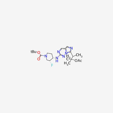 CC(=O)OC(C)(C)C(C)c1ncc2cnc(N[C@H]3CCN(C(=O)OC(C)(C)C)C[C@H]3F)nn12